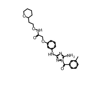 Cc1cccc(C(=O)n2nc(Nc3cccc(OCC(=O)NOCCC4CCCCO4)c3)nc2N)c1